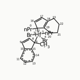 CCC[C]1([Hf]([Br])([Br])([CH2]CC)[C]2(C)C=Cc3ccccc32)C=CC2=C1CCCC2